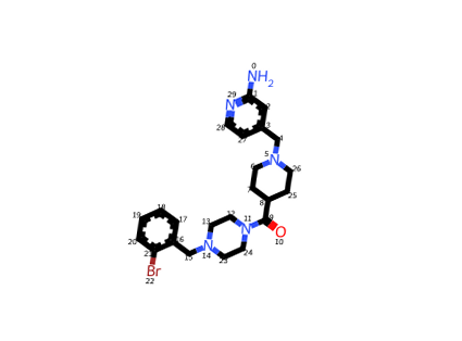 Nc1cc(CN2CCC(C(=O)N3CCN(Cc4ccccc4Br)CC3)CC2)ccn1